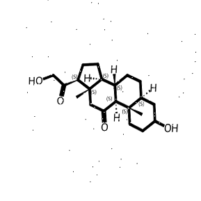 C[C@]12CCC(O)C[C@@H]1CC[C@H]1[C@@H]3CC[C@H](C(=O)CO)[C@@]3(C)CC(=O)[C@@H]12